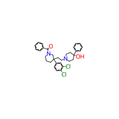 O=C(c1ccccc1)N1CCCC(CCN2CCC(O)(c3ccccc3)CC2)(c2ccc(Cl)c(Cl)c2)C1